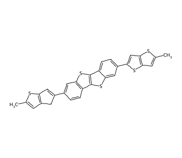 Cc1cc2c(s1)C=C(c1ccc3c(c1)sc1c4ccc(-c5cc6sc(C)cc6s5)cc4sc31)C2